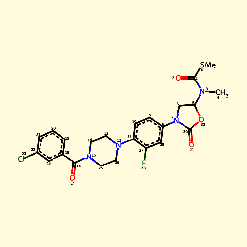 CSC(=O)N(C)C1CN(c2ccc(N3CCN(C(=O)c4cccc(Cl)c4)CC3)c(F)c2)C(=O)O1